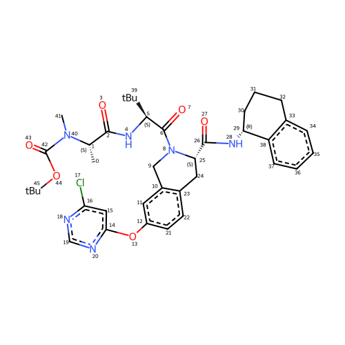 C[C@@H](C(=O)N[C@H](C(=O)N1Cc2cc(Oc3cc(Cl)ncn3)ccc2C[C@H]1C(=O)N[C@@H]1CCCc2ccccc21)C(C)(C)C)N(C)C(=O)OC(C)(C)C